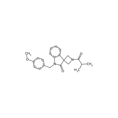 COc1ccc(CN2C(=O)C3(CN(C(=O)C(C)C)C3)c3ccccc32)cc1